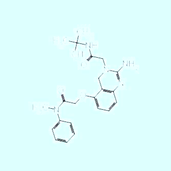 CN(C(=O)COc1cccc2c1CN(CC(=O)NC(C)(C)C)C(N)=N2)c1ccccc1